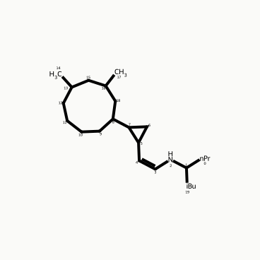 CCCC(N/C=C\C1CC1C1CCCCC(C)CC(C)C1)C(C)CC